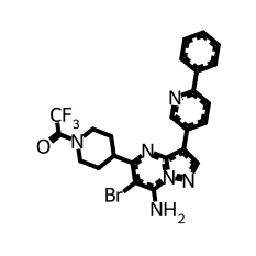 Nc1c(Br)c(C2CCN(C(=O)C(F)(F)F)CC2)nc2c(-c3ccc(-c4ccccc4)nc3)cnn12